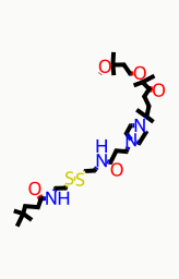 COC(C)(C)CCOC(C)(C)C(=O)CCC(C)(C)N1CCN(CCC(=O)NCCSSCCNC(=O)CCC(C)(C)C)CC1